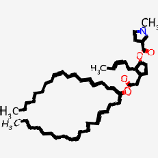 CC/C=C\CC1C(CC(=O)OC(CCCCCCCC/C=C\CCCCCCCC)CCCCCCCC/C=C\CCCCCCCC)CCC1OC(=O)C1CCN(C)C1